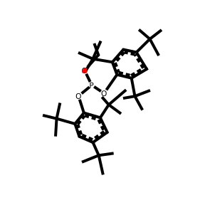 CCOP(Oc1c(C(C)(C)C)cc(C(C)(C)C)cc1C(C)(C)C)Oc1c(C(C)(C)C)cc(C(C)(C)C)cc1C(C)(C)C